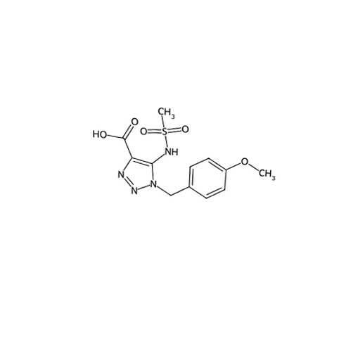 COc1ccc(Cn2nnc(C(=O)O)c2NS(C)(=O)=O)cc1